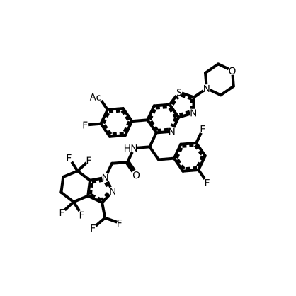 CC(=O)c1cc(-c2cc3sc(N4CCOCC4)nc3nc2C(Cc2cc(F)cc(F)c2)NC(=O)Cn2nc(C(F)F)c3c2C(F)(F)CCC3(F)F)ccc1F